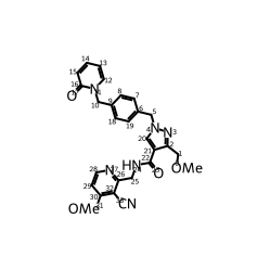 COCc1nn(Cc2ccc(Cn3ccccc3=O)cc2)cc1C(=O)NCc1nccc(OC)c1C#N